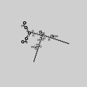 CCCCCCCCCCCCCCC(CC(=O)NCCCNC(=O)C(C)(CC(C)C(=O)NCCCNC(=O)C(CCCCCCCCCCCCC)CC(=O)O)CC(CSCCNC(=O)c1cc(OCc2ccc(C(=O)c3ccccc3)cc2)cc(OCc2ccc(C(=O)c3ccccc3)cc2)c1)N1CCCC1=O)C(=O)O